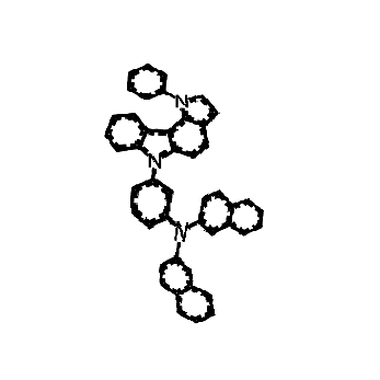 c1ccc(-n2ccc3ccc4c(c5ccccc5n4-c4cccc(N(c5ccc6ccccc6c5)c5ccc6ccccc6c5)c4)c32)cc1